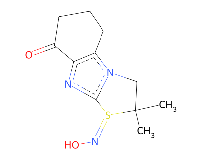 CC1(C)Cn2c(nc3c2CCCC3=O)S1=NO